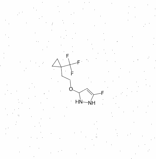 FC1=CC(OCCC2(C(F)(F)F)CC2)NN1